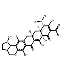 CCN(CC)[C@@H]1C(O)=C(C(N)=O)C(=O)[C@@]2(O)C(O)=C3C(=O)c4c(O)c5c(c(F)c4C[C@H]3C[C@@H]12)C1C(CCN1C)CN5